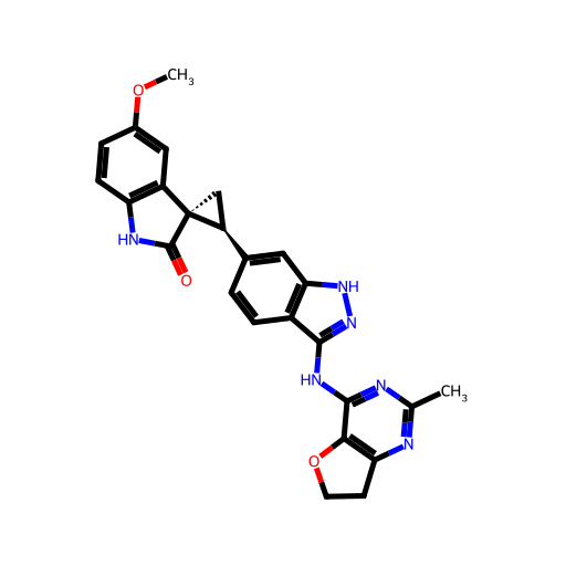 COc1ccc2c(c1)[C@]1(C[C@H]1c1ccc3c(Nc4nc(C)nc5c4OCC5)n[nH]c3c1)C(=O)N2